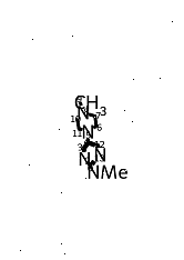 CNc1ncc(N2CCN(C)CC2)cn1